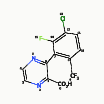 O=C(O)c1nccnc1-c1c(C(F)(F)F)ccc(Cl)c1F